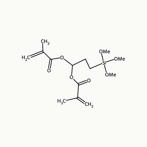 C=C(C)C(=O)OC(CC[Si](OC)(OC)OC)OC(=O)C(=C)C